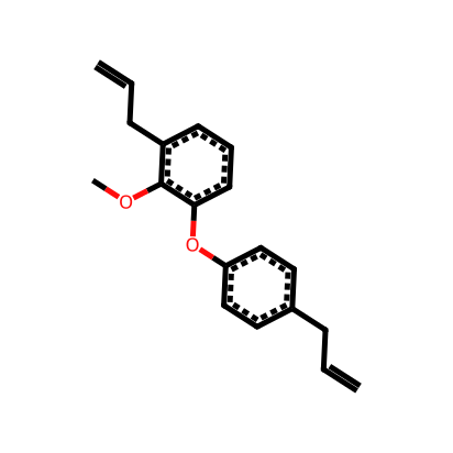 C=CCc1ccc(Oc2cccc(CC=C)c2OC)cc1